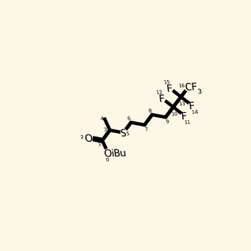 CC(C)COC(=O)C(C)SCCCCC(F)(F)C(F)(F)C(F)(F)F